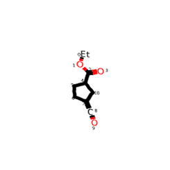 CCOC(=O)C1CCC(=C=O)C1